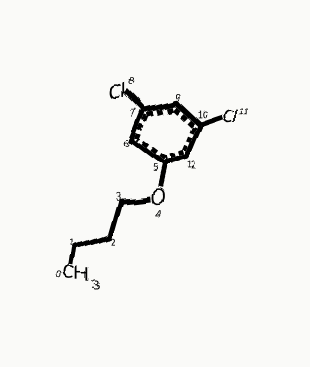 CCCCOc1cc(Cl)cc(Cl)c1